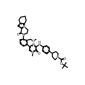 COCc1c(-c2cn(C)c(=O)c(Nc3ccc(C4CCN(C(=O)OC(C)(C)C)CC4)cc3)n2)cccc1N1CCn2c(cc3c2CCCC3)C1=O